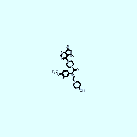 C[C@@H]1C[C@@H](O)c2ncnc(N3CCN(C(=O)[C@H](CCN4CCC(O)CC4)c4ccc(OC(F)(F)F)c(F)c4)CC3)c21